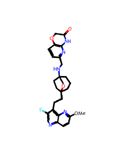 COc1ccc2ncc(F)c(CCC34CCCC(NCc5ccc6c(n5)NC(=O)CO6)(CC3)CO4)c2n1